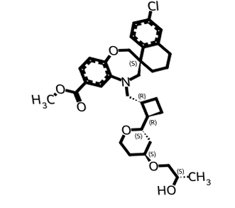 COC(=O)c1ccc2c(c1)N(C[C@@H]1CC[C@H]1[C@@H]1C[C@@H](OC[C@H](C)O)CCO1)C[C@@]1(CCCc3cc(Cl)ccc31)CO2